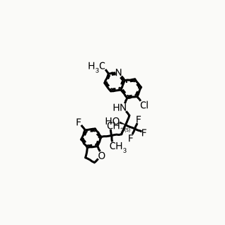 Cc1ccc2c(NC[C@@](O)(CC(C)(C)c3cc(F)cc4c3OCC4)C(F)(F)F)c(Cl)ccc2n1